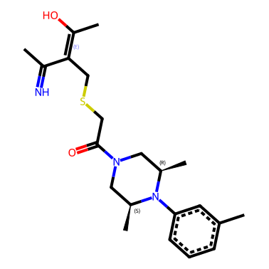 CC(=N)/C(CSCC(=O)N1C[C@@H](C)N(c2cccc(C)c2)[C@@H](C)C1)=C(/C)O